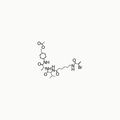 C=C(Br)C(=O)NCCCCCC(=O)N[C@H](C(=O)N[C@@H](C)C(=O)Nc1ccc(COC(C)=O)cc1)C(C)C